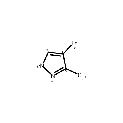 CCC1=C[N]N=C1C(F)(F)F